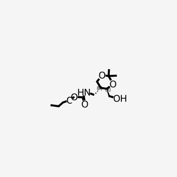 CCCCOC(=O)NC[C@@H]1COC(C)(C)O[C@H]1CO